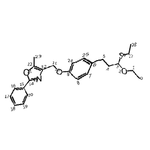 CCOC(CCc1ccc(OCc2nc(-c3ccccc3)oc2C)cc1)SCC